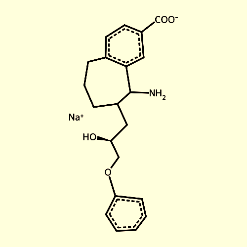 NC1c2cc(C(=O)[O-])ccc2CCCC1C[C@H](O)COc1ccccc1.[Na+]